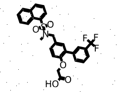 CN(Cc1ccc(OCC(=O)O)c(-c2cccc(C(F)(F)F)c2)c1)S(=O)(=O)c1cccc2ccccc12